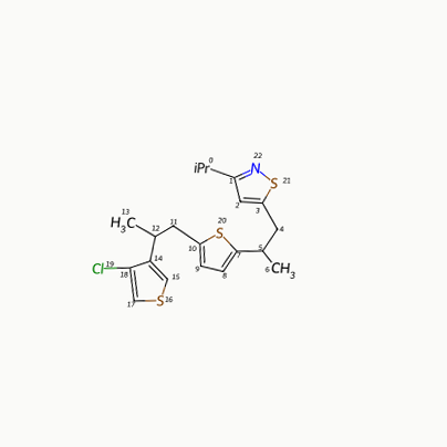 CC(C)c1cc(CC(C)c2ccc(CC(C)c3cscc3Cl)s2)sn1